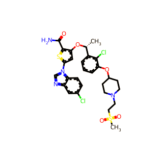 C[C@@H](Oc1cc(-n2cnc3cc(Cl)ccc32)sc1C(N)=O)c1cccc(OC2CCN(CCS(C)(=O)=O)CC2)c1Cl